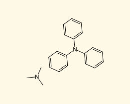 CN(C)C.c1ccc(N(c2ccccc2)c2ccccc2)cc1